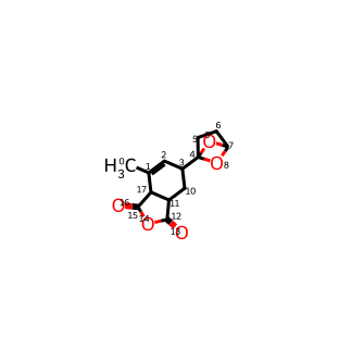 CC1=CC(C23CCC(O2)O3)CC2C(=O)OC(=O)C12